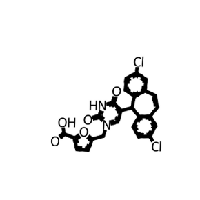 O=C(O)c1ccc(Cn2cc(C3c4ccc(Cl)cc4C=Cc4cc(Cl)ccc43)c(=O)[nH]c2=O)o1